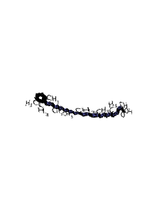 CC1=C(/C=C/C(C)=C/C=C/C(C)=C/C=C/C=C(C)/C=C/C=C(C)/C=C/C=C(C)/C=C\C=C(\C)C(=O)O)C(C)(C)CCC1